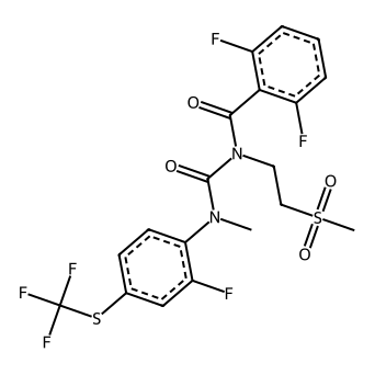 CN(C(=O)N(CCS(C)(=O)=O)C(=O)c1c(F)cccc1F)c1ccc(SC(F)(F)F)cc1F